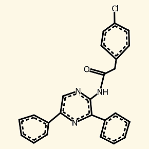 O=C(Cc1ccc(Cl)cc1)Nc1ncc(-c2ccccc2)nc1-c1ccccc1